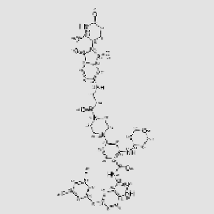 O=C1CCC(N2C(=O)c3ccc(NCCC(=O)N4CCN(c5ccc(C(=O)Nc6n[nH]c7ccc(Cc8cc(F)cc(F)c8)cc67)c(NC6CCOCC6)c5)CC4)cc3C2=O)C(=O)N1